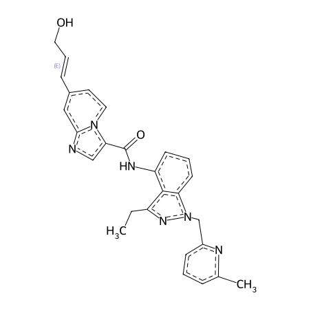 CCc1nn(Cc2cccc(C)n2)c2cccc(NC(=O)c3cnc4cc(/C=C/CO)ccn34)c12